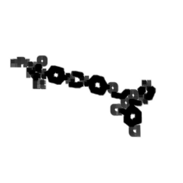 CCCn1nc(CC)n(-c2ccc(N3CCN(c4ccc(OCC5COC(Cn6ccnc6)(c6ccc(Cl)cc6Cl)O5)cc4)CC3)cc2)c1=O